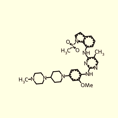 COc1cc(N2CCC(N3CCN(C)CC3)CC2)ccc1Nc1ncc(C)c(Nc2cccc3ccn(S(C)(=O)=O)c23)n1